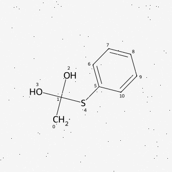 [CH2]C(O)(O)Sc1ccccc1